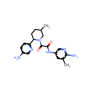 Cc1cc(NC(=O)C(=O)N2CC(C)CCC2c2ccc(N)cn2)cnc1N